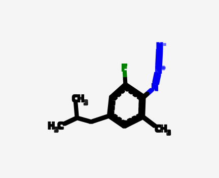 Cc1cc(CC(C)C)cc(F)c1N=[N+]=[N-]